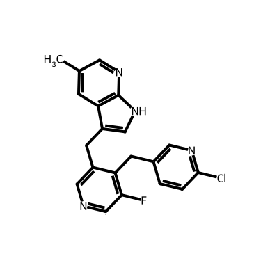 Cc1cnc2[nH]cc(Cc3cn[c]c(F)c3Cc3ccc(Cl)nc3)c2c1